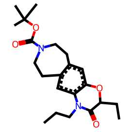 CCCN1C(=O)C(CC)Oc2cc3c(cc21)CCN(C(=O)OC(C)(C)C)CC3